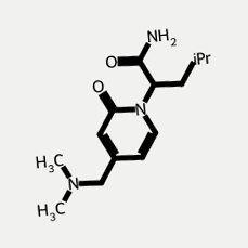 CC(C)CC(C(N)=O)n1ccc(CN(C)C)cc1=O